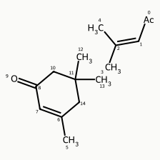 CC(=O)C=C(C)C.CC1=CC(=O)CC(C)(C)C1